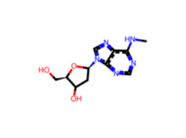 CNc1ncnc2c1ncn2[C@H]1CC(O)[C@@H](CO)O1